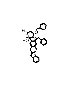 CC[C@@H]1C[C@H](OCc2ccccc2)[C@@H](OCc2ccccc2)C(O)(c2cc(Cc3cc4ccccc4s3)c(C)cc2C)O1